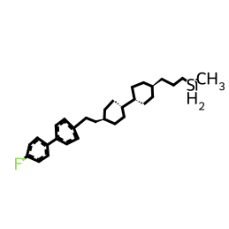 C[SiH2]CCC[C@H]1CC[C@H]([C@H]2CC[C@H](CCc3ccc(-c4ccc(F)cc4)cc3)CC2)CC1